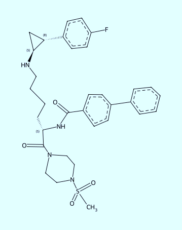 CS(=O)(=O)N1CCN(C(=O)[C@H](CCCCN[C@H]2C[C@@H]2c2ccc(F)cc2)NC(=O)c2ccc(-c3ccccc3)cc2)CC1